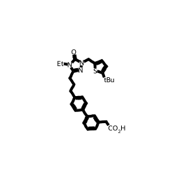 CCn1c(CCCc2ccc(-c3cccc(CC(=O)O)c3)cc2)nn(Cc2ccc(C(C)(C)C)s2)c1=O